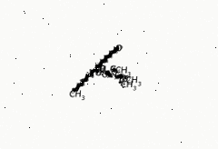 CCCCCCCCCCC(CCCCCCCCC=O)OC(=O)OCCN(CCN(CC)CC)C(C)C